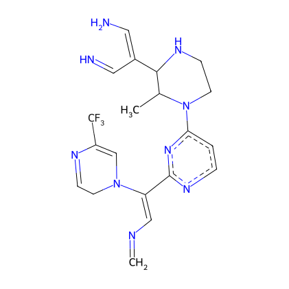 C=N/C=C(/c1nccc(N2CCNC(/C(C=N)=C/N)C2C)n1)N1C=C(C(F)(F)F)N=CC1